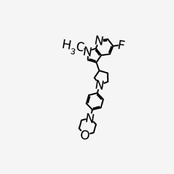 Cn1cc(C2CCN(c3ccc(N4CCOCC4)cc3)C2)c2cc(F)cnc21